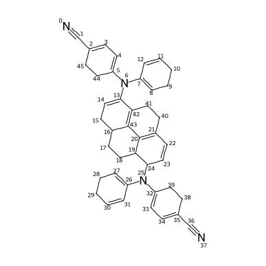 N#CC1=CC=C(N(C2=CCCC=C2)C2=CCC3CCC4C5=C(C=CC4N(C4=CCCC=C4)C4=CC=C(C#N)CC4)CCC2=C53)CC1